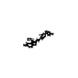 CCc1c(CCN2CCC(c3nsc4cc(F)ccc34)CC2)sc2c1CN(C(C)=O)CC2